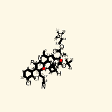 Cc1nc2c(F)c(-c3cccc(Cl)c3Cl)c(CCC#N)cc2c2c1cc([C@@H](C)N(C)C(=O)OCC[Si](C)(C)C)n2[C@H]1[C@@H]2C[C@H]1N(C(=O)OC(C)(C)C)C2